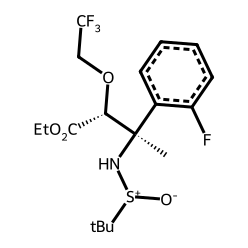 CCOC(=O)[C@H](OCC(F)(F)F)[C@](C)(N[S+]([O-])C(C)(C)C)c1ccccc1F